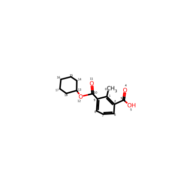 Cc1c(C(=O)O)cccc1C(=O)OC1CCCCC1